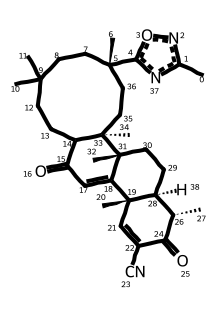 Cc1noc([C@@]2(C)CCC(C)(C)CCC3C(=O)C=C4[C@@]5(C)C=C(C#N)C(=O)[C@@H](C)[C@@H]5CC[C@@]4(C)[C@]3(C)CC2)n1